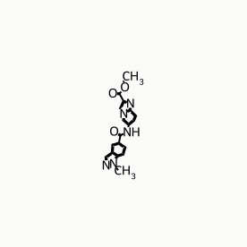 CCOC(=O)c1cn2cc(NC(=O)c3ccc4c(cnn4C)c3)ccc2n1